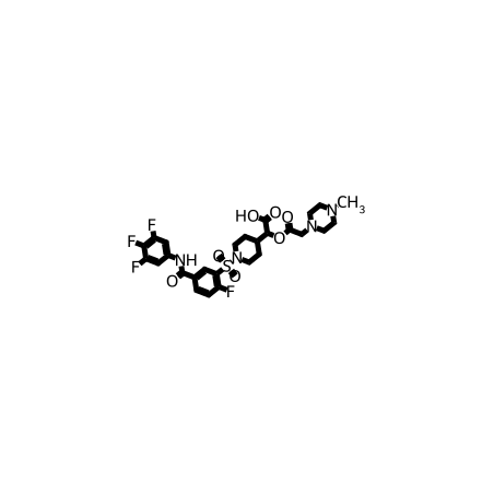 CN1CCN(CC(=O)OC(C(=O)O)C2CCN(S(=O)(=O)c3cc(C(=O)Nc4cc(F)c(F)c(F)c4)ccc3F)CC2)CC1